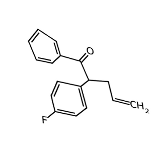 C=CCC(C(=O)c1ccccc1)c1ccc(F)cc1